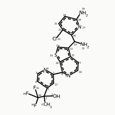 CC(O)(c1ccnc(-c2nccc3c(C(N)c4nc(N)ccc4Cl)csc23)c1)C(F)(F)F